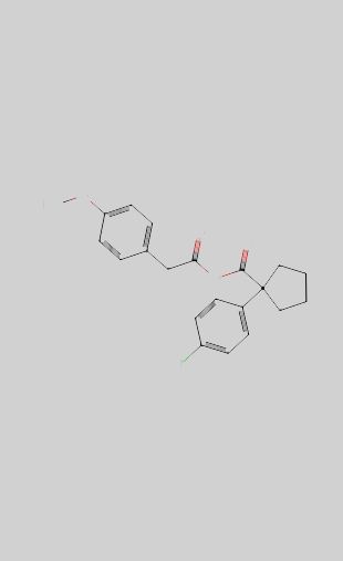 COc1ccc(CC(=O)OC(=O)C2(c3ccc(Cl)cc3)CCCC2)cc1